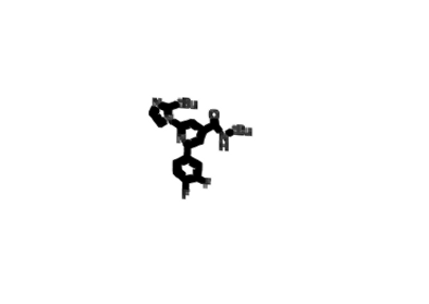 CC(C)(C)NC(=O)c1cc(-c2ccc(F)c(F)c2)nc(-n2ccnc2C(C)(C)C)c1